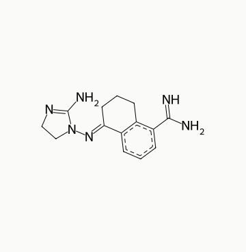 N=C(N)c1cccc2c1CCCC2=NN1CCN=C1N